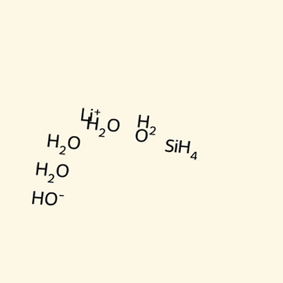 O.O.O.O.[Li+].[OH-].[SiH4]